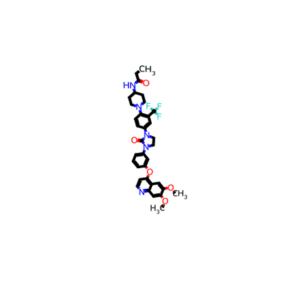 CCC(=O)NC1CCN(c2ccc(N3CCN(c4cccc(Oc5ccnc6cc(OC)c(OC)cc56)c4)C3=O)cc2C(F)(F)F)CC1